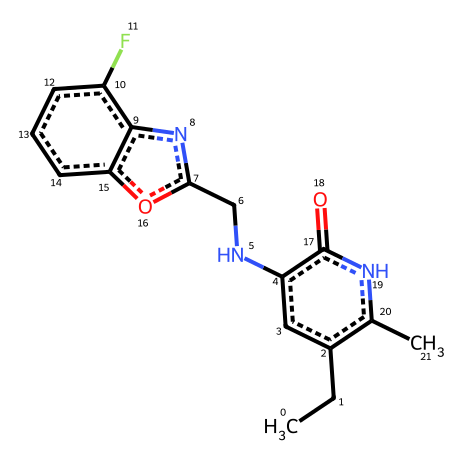 CCc1cc(NCc2nc3c(F)cccc3o2)c(=O)[nH]c1C